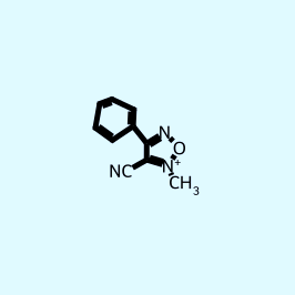 C[n+]1onc(-c2ccccc2)c1C#N